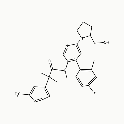 Cc1cc(F)ccc1-c1cc(N2CCCC2CO)ncc1N(C)C(=O)C(C)(C)c1cccc(C(F)(F)F)c1